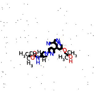 CC(C)(O)COc1cc(-c2ccc(N3C[C@@H]4C(NC(=O)OC(C)(C)C)[C@@H]4C3)nc2)c2c(C#N)cnn2c1